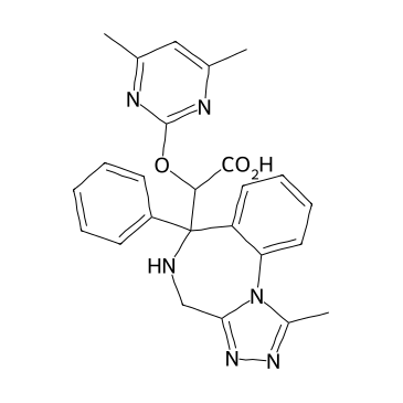 Cc1cc(C)nc(OC(C(=O)O)C2(c3ccccc3)NCc3nnc(C)n3-c3ccccc32)n1